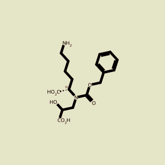 NCCCC[C@@H](C(=O)O)N(CC(O)C(=O)O)C(=O)OCc1ccccc1